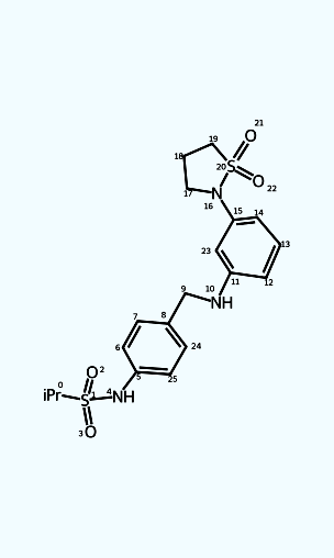 CC(C)S(=O)(=O)Nc1ccc(CNc2cccc(N3CCCS3(=O)=O)c2)cc1